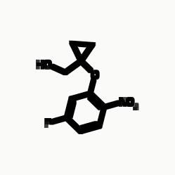 O=[N+]([O-])c1ccc(F)cc1OC1(CO)CC1